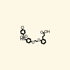 O=C(O)CCc1ccccc1OCCOc1ccc(NS(=O)(=O)c2ccc(Cl)cc2)cc1